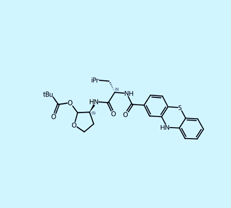 CC(C)C[C@H](NC(=O)c1ccc2c(c1)Nc1ccccc1S2)C(=O)N[C@H]1CCOC1OC(=O)C(C)(C)C